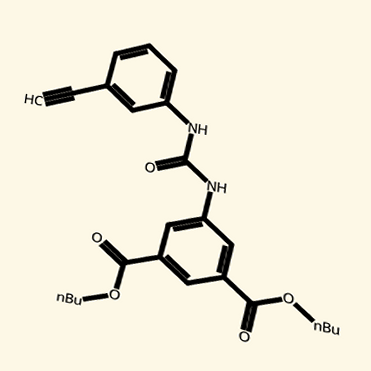 C#Cc1cccc(NC(=O)Nc2cc(C(=O)OCCCC)cc(C(=O)OCCCC)c2)c1